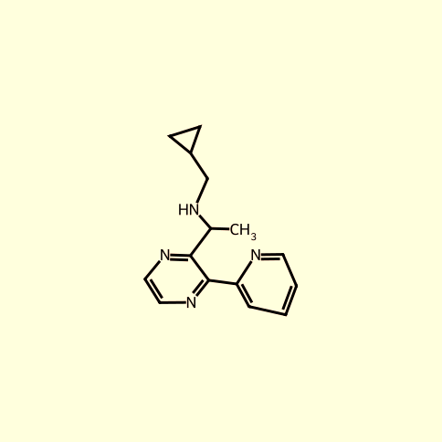 CC(NCC1CC1)c1nccnc1-c1ccccn1